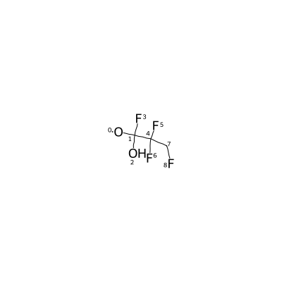 [O]C(O)(F)C(F)(F)CF